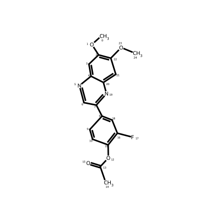 COc1cc2ncc(-c3ccc(OC(C)=O)c(F)c3)nc2cc1OC